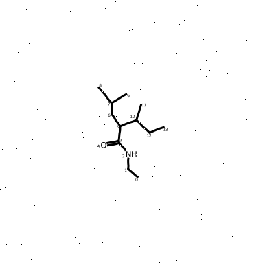 CCNC(=O)C(CC(C)C)C(C)CC